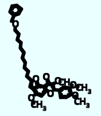 COc1ccc(-c2oc3cc(OC)c4cc(CCCCCCCCCCCOCc5ccccc5)oc4c3c(=O)c2OC)cc1OC